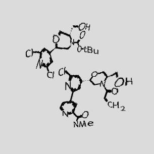 C=CC(=O)N1C[C@H](c2cc(Cl)nc(-c3ccnc(C(=O)NC)c3)c2)OC[C@H]1CO.CC(C)(C)OC(=O)N1C[C@@H](c2cc(Cl)nc(Cl)c2)OC[C@@H]1CO